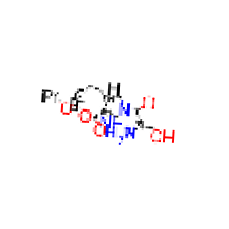 CC(C)OB1CCC[C@H]2CN(C(=O)[C@@H](N)CO)C[C@@]2(N)C(=O)O1